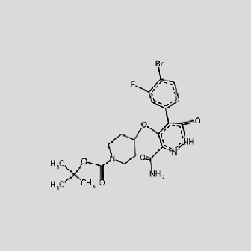 CC(C)(C)OC(=O)N1CCC(Oc2c(C(N)=O)n[nH]c(=O)c2-c2ccc(Br)c(F)c2)CC1